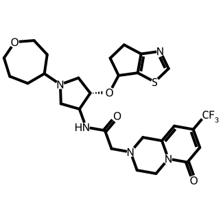 O=C(CN1CCn2c(cc(C(F)(F)F)cc2=O)C1)NC1CN(C2CCCOCC2)C[C@@H]1OC1CCc2ncsc21